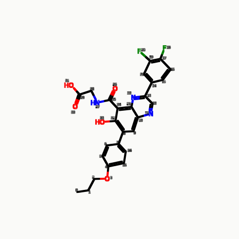 CCCOc1ccc(-c2cc3ncc(-c4ccc(F)c(F)c4)nc3c(C(=O)NCC(=O)O)c2O)cc1